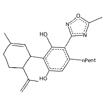 C=C(C)C1CCC(C)=CC1c1c(O)cc(CCCCC)c(-c2noc(C)n2)c1O